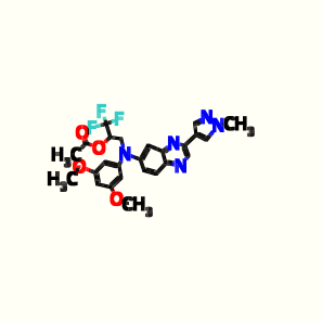 COc1cc(OC)cc(N(CC(OC(C)=O)C(F)(F)F)c2ccc3ncc(-c4cnn(C)c4)nc3c2)c1